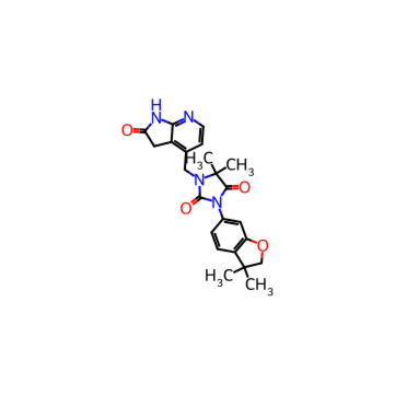 CC1(C)COc2cc(N3C(=O)N(Cc4ccnc5c4CC(=O)N5)C(C)(C)C3=O)ccc21